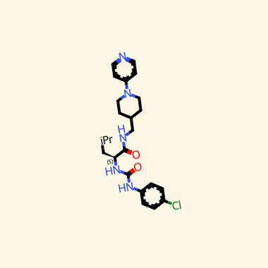 CC(C)C[C@H](NC(=O)Nc1ccc(Cl)cc1)C(=O)NCC1CCN(c2ccncc2)CC1